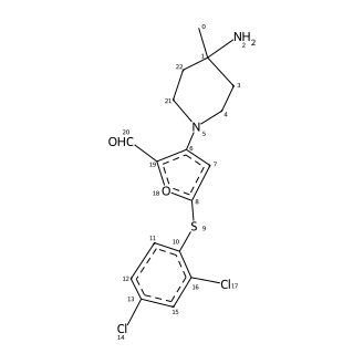 CC1(N)CCN(c2cc(Sc3ccc(Cl)cc3Cl)oc2C=O)CC1